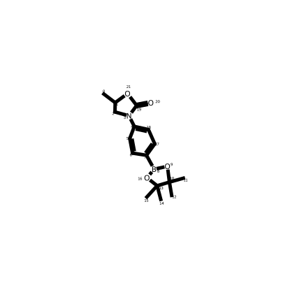 CC1CN(c2ccc(B3OC(C)(C)C(C)(C)O3)cc2)C(=O)O1